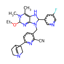 CCOC1N=C2C(=C(C)N1C)NC(c1cncc(F)c1)N2Cc1ccc(C2=CN3CCC2CC3)nc1C#N